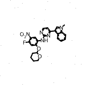 Cn1cc(-c2ccnc(Nc3cc([N+](=O)[O-])c(F)cc3OC3CCCCO3)n2)c2ccccc21